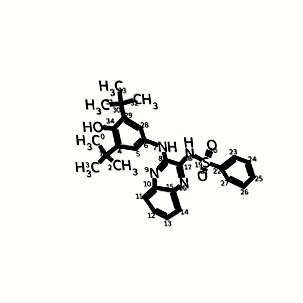 CC(C)(C)c1cc(Nc2nc3ccccc3nc2NS(=O)(=O)c2ccccc2)cc(C(C)(C)C)c1O